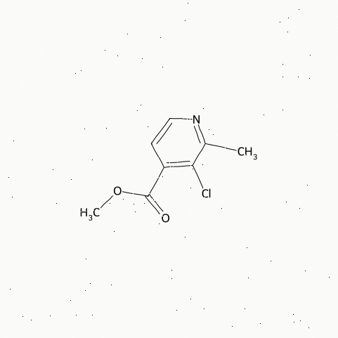 COC(=O)c1ccnc(C)c1Cl